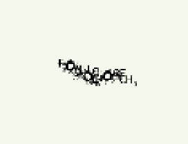 CC(F)(F)Oc1ccc(N2CCC3(CCN(C(=O)Nc4ccc(F)cc4)CC3)C2=O)cc1